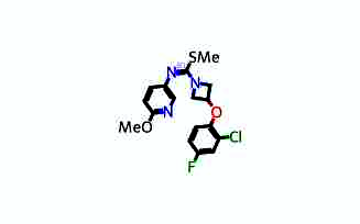 COc1ccc(/N=C(/SC)N2CC(Oc3ccc(F)cc3Cl)C2)cn1